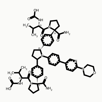 CC(C)[C@H](NC(=O)O)C(=O)N1CCC[C@@]1(C(N)=O)c1ccc(C2CC[C@H](c3ccc([C@]4(C(N)=O)CCCN4C(=O)[C@@H](NC(=O)O)C(C)C)cc3)N2c2ccc(-c3ccc(N4CCOCC4)nc3)cc2)cc1